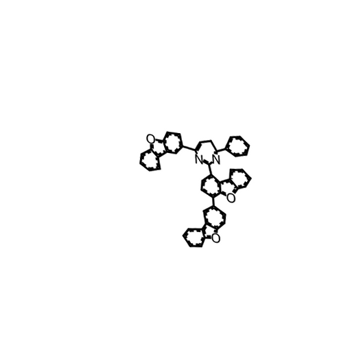 C1=C(c2ccc3oc4ccccc4c3c2)N=C(c2ccc(-c3ccc4oc5ccccc5c4c3)c3oc4ccccc4c23)N=C(c2ccccc2)C1